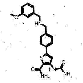 COc1cccc(CNCc2ccc(-c3cc(NC(N)=O)c(C(N)=O)s3)cc2)c1